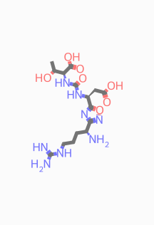 CC(O)[C@H](NC(=O)N[C@@H](CC(=O)O)c1nc([C@@H](N)CCCNC(=N)N)no1)C(=O)O